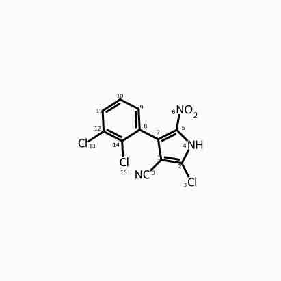 N#Cc1c(Cl)[nH]c([N+](=O)[O-])c1-c1cccc(Cl)c1Cl